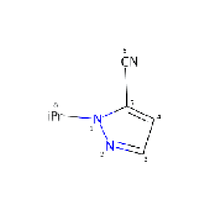 CC(C)n1nccc1C#N